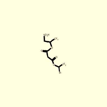 CCC(OC(=O)CC(=O)OC(CS(=O)(=O)O)C(F)(F)F)C(F)(F)F